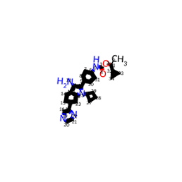 C[C@@H](OC(=O)Nc1ccc(-c2c(N)c3ccc(-c4cnccn4)cc3n2C2CCC2)cc1)C1CC1